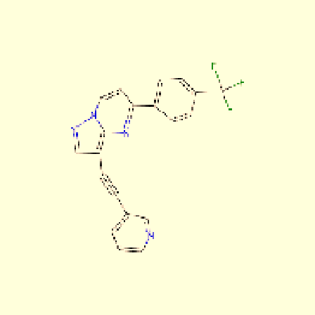 FC(F)(F)c1ccc(-c2ccn3ncc(C#Cc4cccnc4)c3n2)cc1